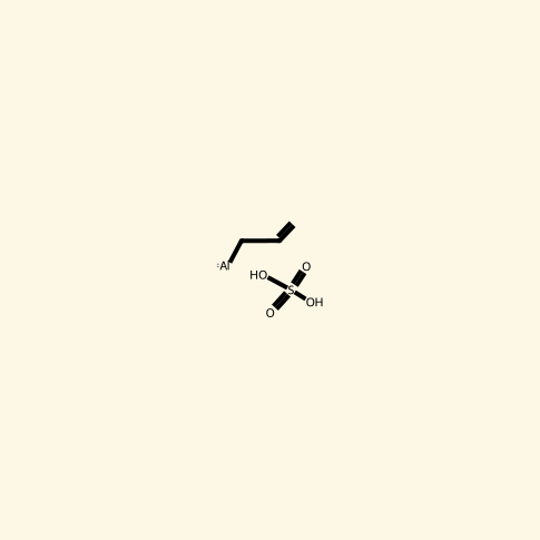 C=C[CH2][Al].O=S(=O)(O)O